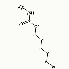 CNC(=O)OCCCCCBr